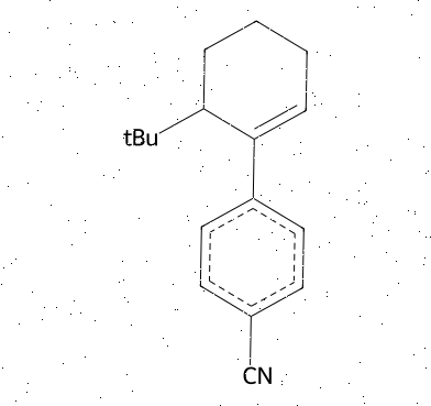 CC(C)(C)C1CCCC=C1c1ccc(C#N)cc1